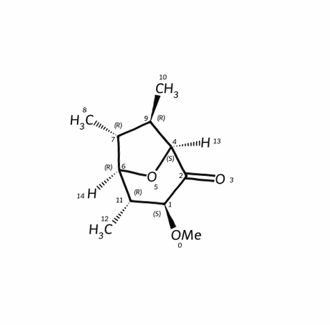 CO[C@@H]1C(=O)[C@H]2O[C@H]([C@H](C)[C@H]2C)[C@H]1C